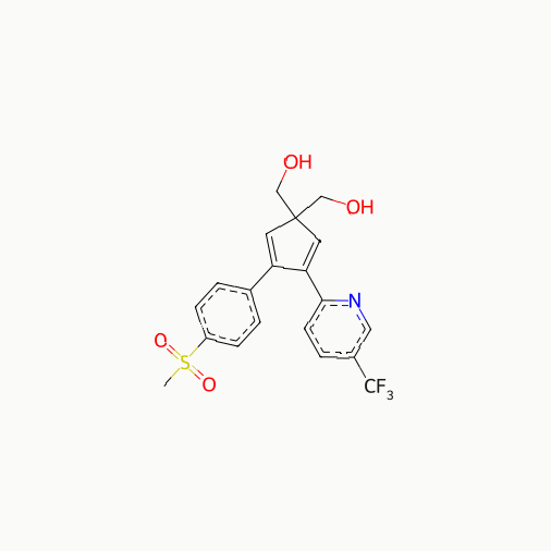 CS(=O)(=O)c1ccc(C2=CC(CO)(CO)C=C2c2ccc(C(F)(F)F)cn2)cc1